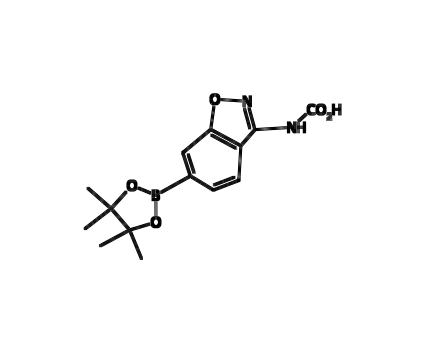 CC1(C)OB(c2ccc3c(NC(=O)O)noc3c2)OC1(C)C